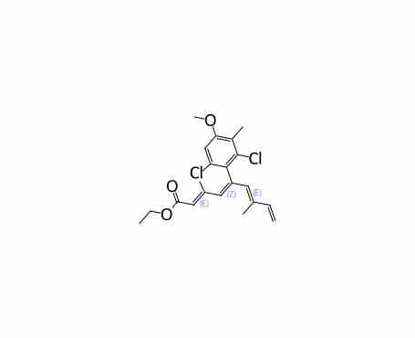 C=C/C(C)=C/C(=C/C(C)=C/C(=O)OCC)c1c(Cl)cc(OC)c(C)c1Cl